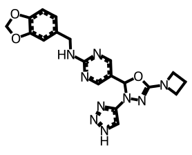 c1cc2c(cc1CNc1ncc(C3OC(N4CCC4)=NN3c3c[nH]nn3)cn1)OCO2